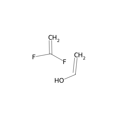 C=C(F)F.C=CO